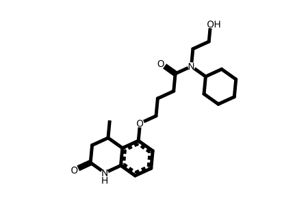 CC1CC(=O)Nc2cccc(OCCCC(=O)N(CCO)C3CCCCC3)c21